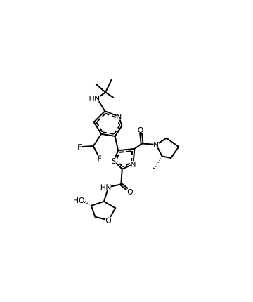 C[C@H]1CCCN1C(=O)c1nc(C(=O)NC2COC[C@@H]2O)sc1-c1cnc(NC(C)(C)C)cc1C(F)F